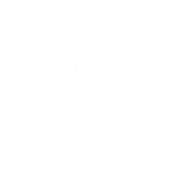 CCOC(=O)Cc1cc(C=O)ccc1OC